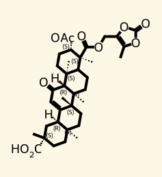 CC(=O)O[C@H]1CC[C@@]2(C)C(CC[C@]3(C)[C@@H]2C(=O)C=C2[C@@H]4C[C@@](C)(C(=O)O)CC[C@]4(C)CC[C@]23C)[C@]1(C)C(=O)OCc1oc(=O)oc1C